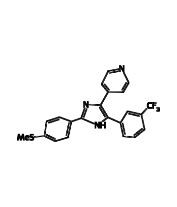 CSc1ccc(-c2nc(-c3ccncc3)c(-c3cccc(C(F)(F)F)c3)[nH]2)cc1